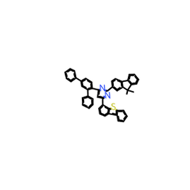 CC1(C)c2ccccc2-c2ccc(-c3nc(-c4ccc(-c5ccccc5)cc4-c4ccccc4)cc(-c4cccc5c4sc4ccccc45)n3)cc21